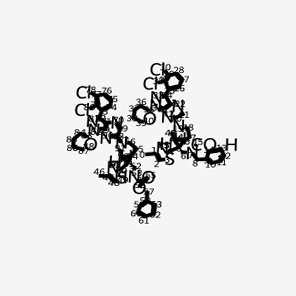 Cc1csc([C@@]2(CN(Cc3ccccc3)C(=O)O)[C@@H]3CCN(c4cnc5c(-c6cccc(Cl)c6Cl)nn(C6CCCCO6)c5n4)C[C@@H]32)n1.Cc1csc([C@@]2(CNC(=O)OCc3ccccc3)[C@@H]3CCN(c4cnc5c(-c6cccc(Cl)c6Cl)nn(C6CCCCO6)c5n4)C[C@@H]32)n1